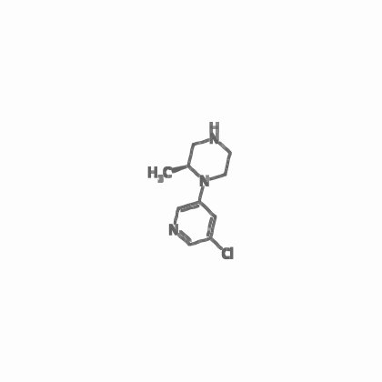 C[C@H]1CNCCN1c1cncc(Cl)c1